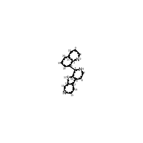 c1cnc2c(-c3nccc4c3sc3cnccc34)cccc2c1